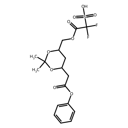 CC1(C)OC(COC(=O)C(F)(F)S(=O)(=O)O)CC(CC(=O)Oc2ccccc2)O1